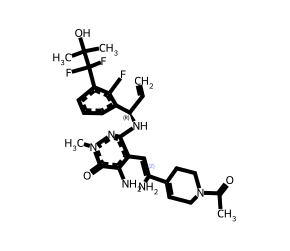 C=C[C@@H](Nc1nn(C)c(=O)c(N)c1/C=C(\N)C1=CCN(C(C)=O)CC1)c1cccc(C(F)(F)C(C)(C)O)c1F